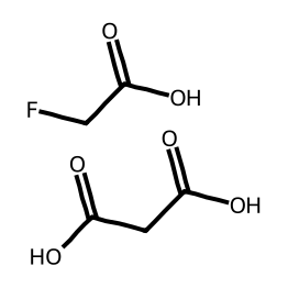 O=C(O)CC(=O)O.O=C(O)CF